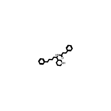 O=C(CCc1ccccc1)NC(CCCCc1ccccc1)C1CCCNC1